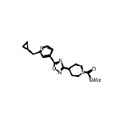 COC(=O)N1CCC(c2noc(-c3ccnc(CC4CC4)c3)n2)CC1